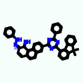 CC1(C)c2ccccc2-c2c(-c3nc(-c4ccccc4)nc(-c4ccc5c6c(ccc5c4)C=C/C(=N/Nc4ccccc4)C6=N)n3)cccc21